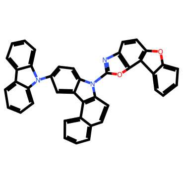 c1ccc2c(c1)ccc1c2c2cc(-n3c4ccccc4c4ccccc43)ccc2n1-c1nc2ccc3oc4ccccc4c3c2o1